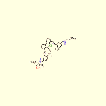 COCCNCc1ccc(C(F)(F)F)c(/C=C/c2cccc(-c3cccc(/C=C/c4cc(CNC(C)(CO)C(=O)O)ccc4C(F)(F)F)c3C)c2Cl)c1